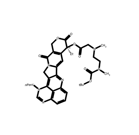 CCCCCN1C=Nc2cccc3nc4c(c1c23)Cn1c-4cc2c(c1=O)COC(=O)[C@@]2(CC)OC(=O)CN(C)CCN(C)C(=O)OC(C)(C)C